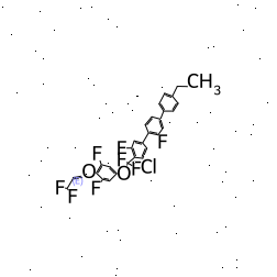 CCCc1ccc(-c2ccc(-c3cc(F)c(C(F)(F)Oc4cc(F)c(O/C=C/C(F)F)c(F)c4)c(Cl)c3)c(F)c2)cc1